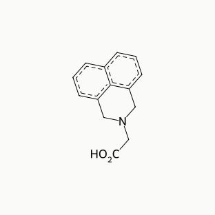 O=C(O)CN1Cc2cccc3cccc(c23)C1